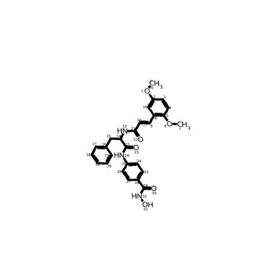 COc1ccc(OC)c(/C=C/C(=O)NC(Cc2ccccc2)C(=O)Nc2ccc(C(=O)NO)cc2)c1